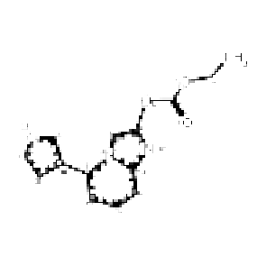 CCOC(=O)Oc1cn2c(-c3ccoc3)cccc2n1